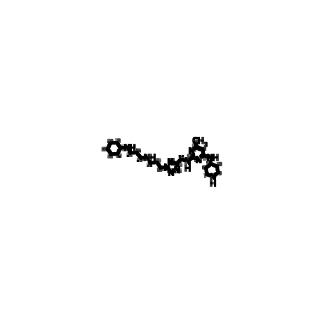 Cc1cc(NC2CCNCC2)nc(NCc2nnn(CCCNCCCNC3CCCCC3)n2)n1